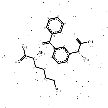 C[C@@H](C(=O)O)c1cccc(C(=O)c2ccccc2)c1.NCCCC[C@@H](N)C(=O)O